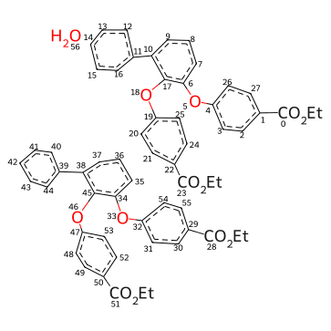 CCOC(=O)c1ccc(Oc2cccc(-c3ccccc3)c2Oc2ccc(C(=O)OCC)cc2)cc1.CCOC(=O)c1ccc(Oc2cccc(-c3ccccc3)c2Oc2ccc(C(=O)OCC)cc2)cc1.O